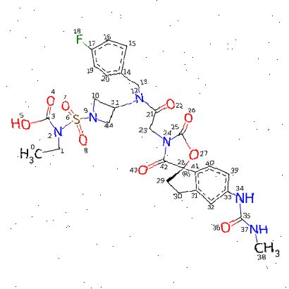 CCN(C(=O)O)S(=O)(=O)N1CC(N(Cc2ccc(F)cc2)C(=O)CN2C(=O)O[C@@]3(CCc4cc(NC(=O)NC)ccc43)C2=O)C1